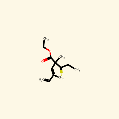 C=CC(C)=CC(C)(C(=O)OCC)C(=S)CC